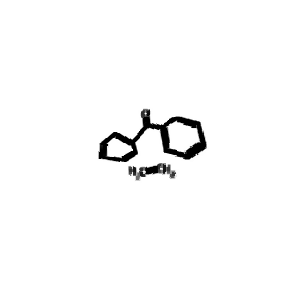 C=C.O=C(c1ccccc1)c1ccccc1